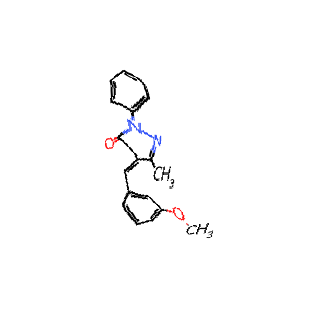 COc1cccc(C=C2C(=O)N(c3ccccc3)N=C2C)c1